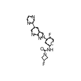 O=C(Nc1ccc(F)c(-n2cc3cc(-c4cnccn4)cnc3n2)c1)N1CC(F)C1